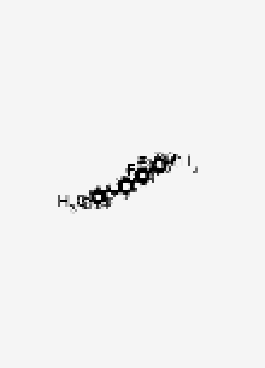 COc1ccc(CCC2CCC(c3ccc(C4CCC(OC)CC4)c(F)c3F)CC2)c(F)c1